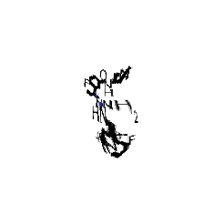 C=C/C(=C\N=C(/N)NC[C@@](C)(C[C@@H](C)F)c1ncccc1F)c1cc(C(=O)NC2CN(C)C2)ccc1F